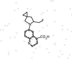 O=C(O)c1ccnc2ccc(N3CC4(CC4)CC3CF)cc12